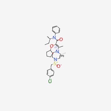 CCC(C)N(C(=O)/C(OC1CCCC1)=C(\C)N1CCN([S+]([O-])Cc2ccc(Cl)cc2)C[C@H]1C)c1ccccc1